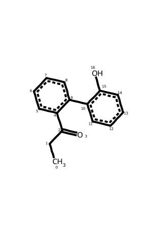 CCC(=O)c1ccccc1-c1ccccc1O